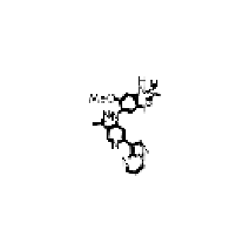 COc1cc(NS(C)(=O)=O)c(F)cc1-n1nc(C)c2cnc(-c3cnn4cccnc34)cc21